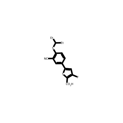 CCC(CC)Sc1ccc(-c2cc(F)c(C(=O)O)s2)cc1C#N